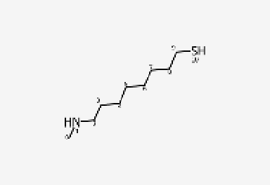 CNCCCCCCCCS